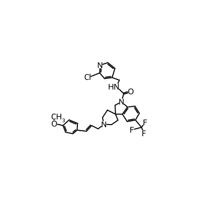 COc1ccc(C=CCN2CCC3(CC2)CN(C(=O)NCc2ccnc(Cl)c2)c2ccc(C(F)(F)F)cc23)cc1